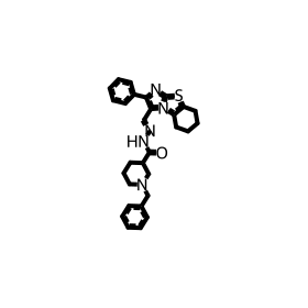 O=C(NN=Cc1c(-c2ccccc2)nc2sc3c(n12)CCCC3)C1CCCN(Cc2ccccc2)C1